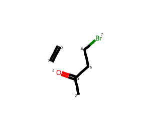 C=C.CC(=O)CCBr